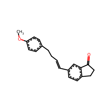 COc1ccc(CCC=Cc2ccc3c(c2)C(=O)CC3)cc1